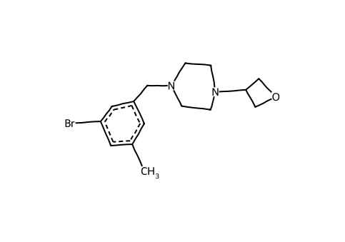 Cc1cc(Br)cc(CN2CCN(C3COC3)CC2)c1